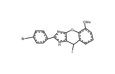 COc1cccc2c1Oc1nc(-c3ccc(Br)cc3)[nH]c1C2I